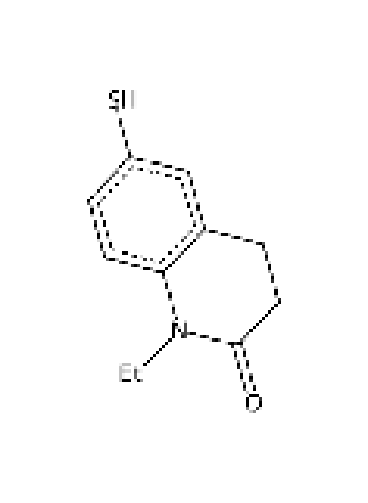 CCN1C(=O)CCc2cc(S)ccc21